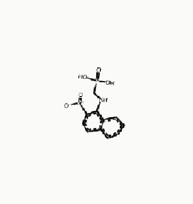 O=[N+]([O-])c1ccc2ccccc2c1NCP(=O)(O)O